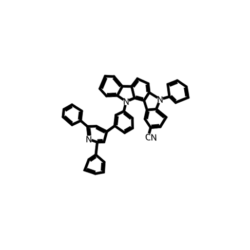 N#Cc1ccc2c(c1)c1c(ccc3c4ccccc4n(-c4cccc(-c5cc(-c6ccccc6)nc(-c6ccccc6)c5)c4)c31)n2-c1ccccc1